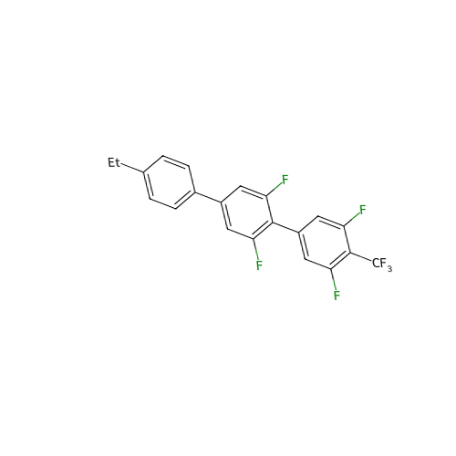 CCc1ccc(-c2cc(F)c(-c3cc(F)c(C(F)(F)F)c(F)c3)c(F)c2)cc1